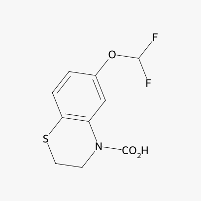 O=C(O)N1CCSc2ccc(OC(F)F)cc21